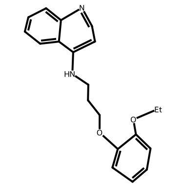 CCOc1ccccc1OCCCNc1ccnc2ccccc12